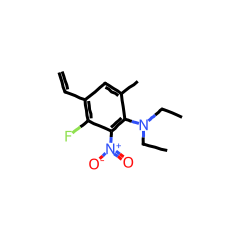 C=Cc1cc(C)c(N(CC)CC)c([N+](=O)[O-])c1F